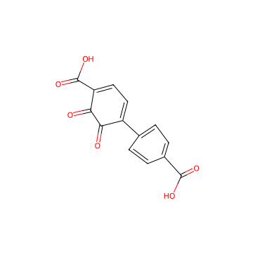 O=C(O)C1=CC=C(c2ccc(C(=O)O)cc2)C(=O)C1=O